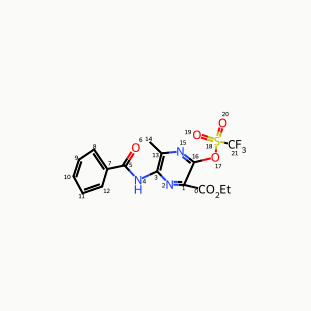 CCOC(=O)c1nc(NC(=O)c2ccccc2)c(C)nc1OS(=O)(=O)C(F)(F)F